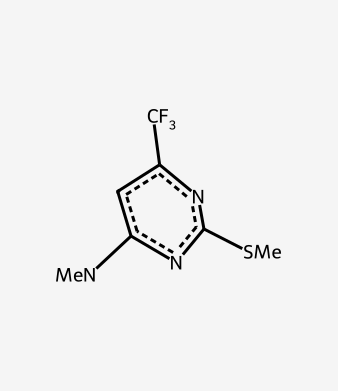 CNc1cc(C(F)(F)F)nc(SC)n1